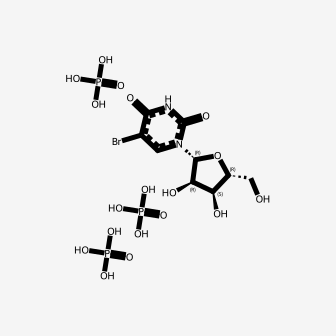 O=P(O)(O)O.O=P(O)(O)O.O=P(O)(O)O.O=c1[nH]c(=O)n([C@@H]2O[C@H](CO)[C@@H](O)[C@H]2O)cc1Br